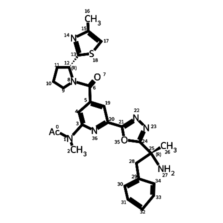 CC(=O)N(C)c1cc(C(=O)N2CCC[C@@H]2c2nc(C)cs2)cc(-c2nnc([C@](C)(N)Cc3ccccc3)o2)n1